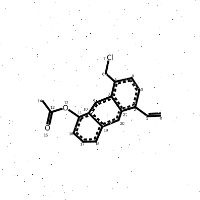 C=Cc1ccc(CCl)c2cc3c(OC(C)=O)cccc3cc12